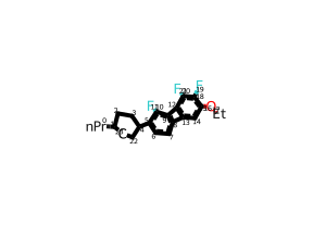 CCCC1CCC(c2ccc3c(c2F)-c2c-3cc(OCC)c(F)c2F)CC1